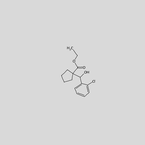 CCOC(=O)C1(C(O)c2ccccc2Cl)CCCC1